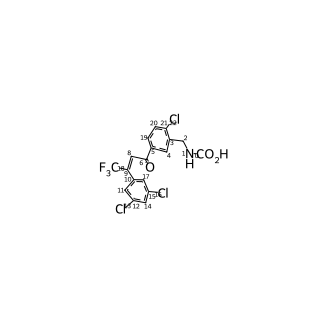 O=C(O)NCc1cc(C(=O)C=C(c2cc(Cl)cc(Cl)c2)C(F)(F)F)ccc1Cl